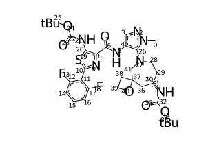 Cn1ncc(NC(=O)c2nc(-c3c(F)cccc3F)sc2NC(=O)OC(C)(C)C)c1N1CC[C@H](NC(=O)OC(C)(C)C)CC2(CCO2)C1